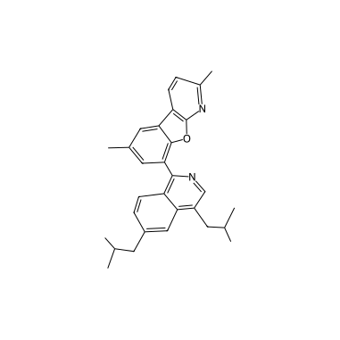 Cc1cc(-c2ncc(CC(C)C)c3cc(CC(C)C)ccc23)c2oc3nc(C)ccc3c2c1